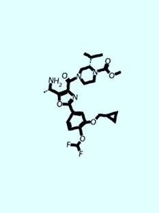 COC(=O)N1CCN(C(=O)c2nc(-c3ccc(OC(F)F)c(OCC4CC4)c3)oc2[C@H](C)N)C[C@@H]1C(C)C